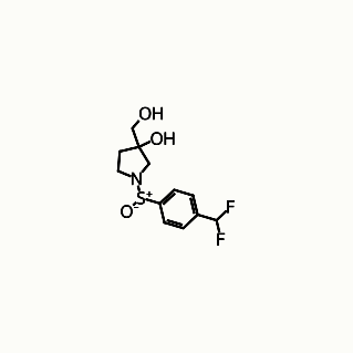 [O-][S+](c1ccc(C(F)F)cc1)N1CCC(O)(CO)C1